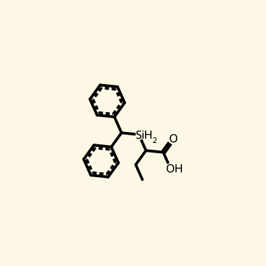 CCC([SiH2]C(c1ccccc1)c1ccccc1)C(=O)O